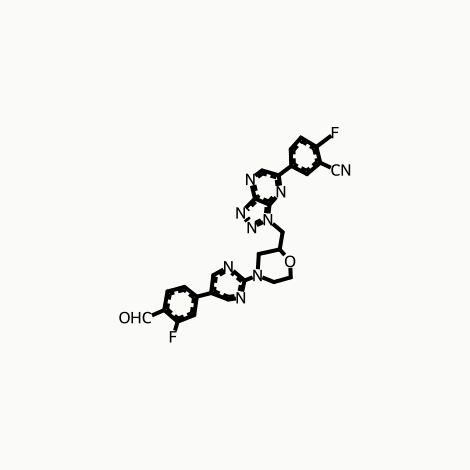 N#Cc1cc(-c2cnc3nnn(CC4CN(c5ncc(-c6ccc(C=O)c(F)c6)cn5)CCO4)c3n2)ccc1F